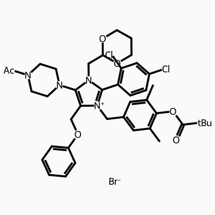 CC(=O)N1CCN(c2c(COc3ccccc3)[n+](Cc3cc(C)c(OC(=O)C(C)(C)C)c(C)c3)c(-c3ccc(Cl)cc3Cl)n2CC2OCCCO2)CC1.[Br-]